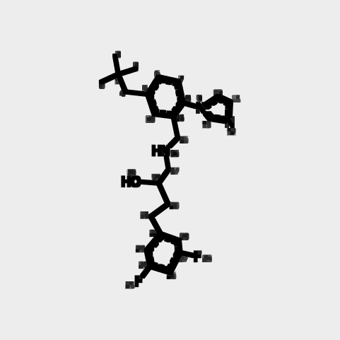 CC(C)(C)Cc1ccc(-n2ccnc2)c(CNCC(O)CCc2cc(F)cc(F)c2)c1